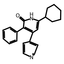 O=c1[nH]c(C2CCCCC2)cc(-c2ccncc2)c1-c1ccccc1